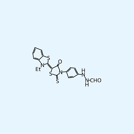 CCN1/C(=C2\SC(=S)N(c3ccc(NNC=O)cc3)C2=O)Sc2ccccc21